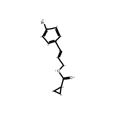 O=C(OCC=Cc1ccc(Br)cc1)C1CC1